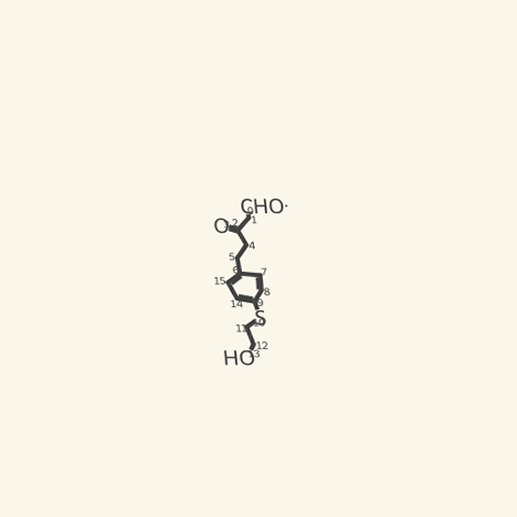 O=[C]CC(=O)CCc1ccc(SCCO)cc1